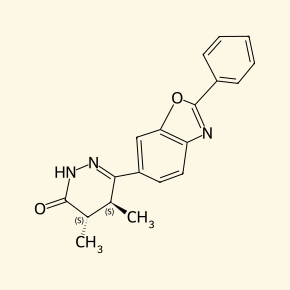 C[C@@H]1C(=O)NN=C(c2ccc3nc(-c4ccccc4)oc3c2)[C@H]1C